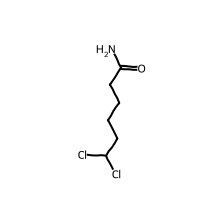 NC(=O)CCCCC(Cl)Cl